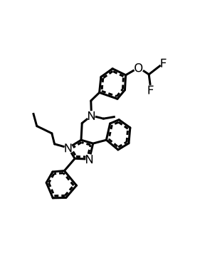 CCCCn1c(-c2ccccc2)nc(-c2ccccc2)c1CN(CC)Cc1ccc(OC(F)F)cc1